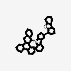 c1ccc2c(-n3c4ccccc4c4cc(-c5cccc6c5oc5ccccc56)ccc43)c3c4ccccc4c4ccccc4c3cc2c1